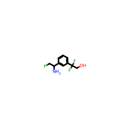 NC(CF)c1cccc(C(F)(F)CO)c1